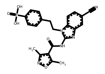 Cc1noc(C)c1C(=O)Nc1nc2cc(C#N)ccc2n1CCc1ccc(P(=O)(O)O)cc1